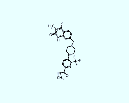 CNC(=O)c1ccc(N2CCN(Cc3ccc4c(=S)n(C)c(=O)[nH]c4c3)CC2)c(C(F)(F)F)n1